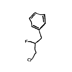 FC(CCl)Cc1ccccc1